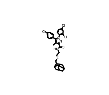 Cc1c(C(=O)NCCOCC2C3CC4CC(C3)CC2C4)nn(-c2ccc(Cl)cc2Cl)c1-c1ccc(Cl)cc1